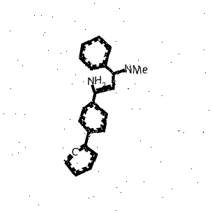 CNC(/C=C(\N)c1ccc(-c2ccccc2)cc1)c1ccccc1